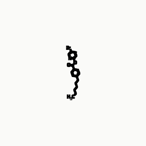 CCCCCCc1ccc(C(=O)Oc2c[c]c(Br)cn2)cc1